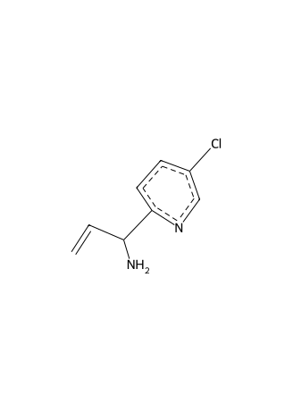 C=CC(N)c1ccc(Cl)cn1